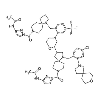 CC(=O)Nc1ccn(C(=O)N2CCC3(CCCN3Cc3ccc(C(F)(F)F)cc3N3CCOC(C4CN(Cc5ccc(Cl)cc5N5CCC6(CCOCC6)C5)C5(CCN(C(=O)n6ccc(NC(C)=O)n6)CC5)C4)C3)CC2)n1